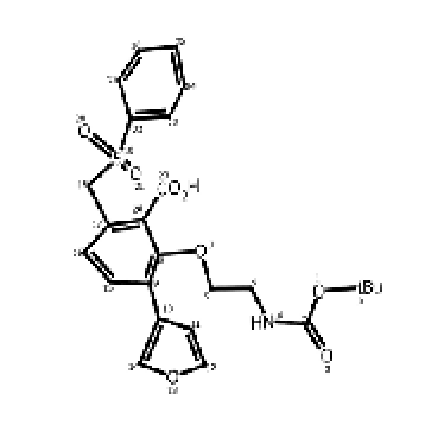 CC(C)(C)OC(=O)NCCOc1c(-c2ccoc2)ccc(CS(=O)(=O)c2ccccc2)c1C(=O)O